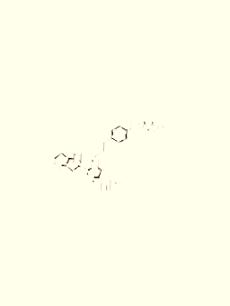 CCCc1cn(CCCc2ccc(OC)cc2)c(-c2cc3sccc3n2C)n1